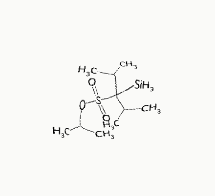 CC(C)OS(=O)(=O)C([SiH3])(C(C)C)C(C)C